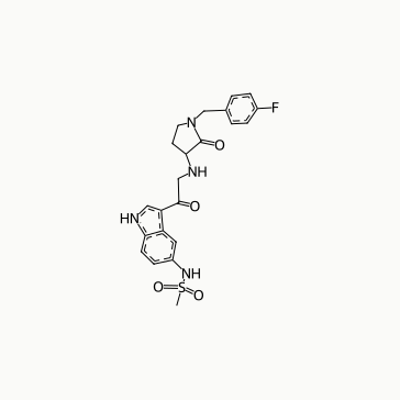 CS(=O)(=O)Nc1ccc2[nH]cc(C(=O)CNC3CCN(Cc4ccc(F)cc4)C3=O)c2c1